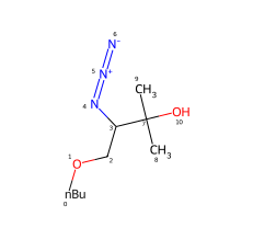 CCCCOCC(N=[N+]=[N-])C(C)(C)O